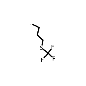 [CH2]CCCSC(F)(F)F